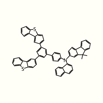 CC1(C)c2ccccc2-c2ccc(N(c3ccc(-c4cc(-c5ccc6sc7ccccc7c6c5)cc(-c5ccc6sc7ccccc7c6c5)c4)cc3)c3cccc4ccccc34)cc21